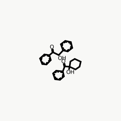 O=C(c1ccccc1)C(O)c1ccccc1.O=C(c1ccccc1)C1(O)CCCCC1